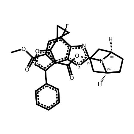 COC(=O)c1cc(F)c2nc(N3[C@@H]4CC[C@H]3C[C@H](OC(=O)c3c(-c5ccccc5)noc3C3CC3)C4)sc2c1